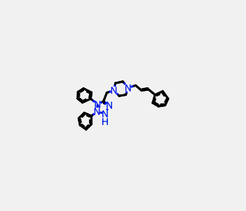 C(=Cc1ccccc1)CN1CCN(CC2=NNN(c3ccccc3)N2c2ccccc2)CC1